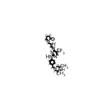 CC1CN(Cc2ccc(Nc3ncc(C(F)(F)F)c(NCCCN4CCCC4=O)n3)cc2)CC(C)N1